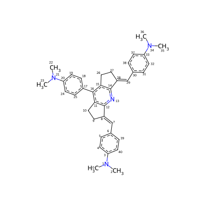 CN(C)c1ccc(C=C2CCc3c2nc2c(c3-c3ccc(N(C)C)cc3)CCC2=Cc2ccc(N(C)C)cc2)cc1